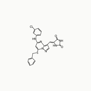 O=C1NC(=O)C(=Cc2cnn3c(SCc4ccccc4)cc(Nc4cccc(Cl)c4)nc23)N1